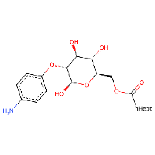 CCCCCCCC(=O)OC[C@H]1O[C@@H](O)[C@H](Oc2ccc(N)cc2)[C@@H](O)[C@@H]1O